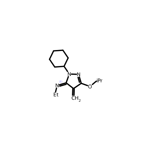 C=C1C(OC(C)C)=NN(C2CCCCC2)/C1=N/CC